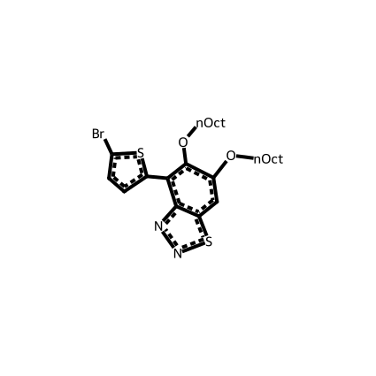 CCCCCCCCOc1cc2snnc2c(-c2ccc(Br)s2)c1OCCCCCCCC